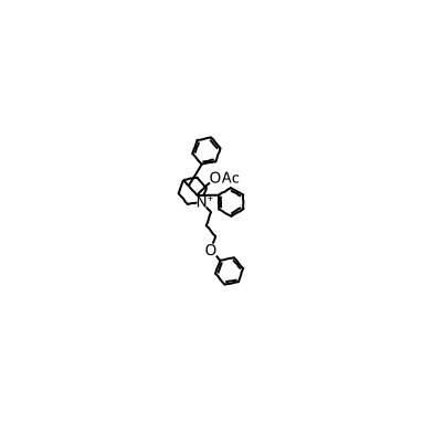 CC(=O)OC1(c2ccccc2)C(c2ccccc2)C2CC[N+]1(CCCOc1ccccc1)CC2